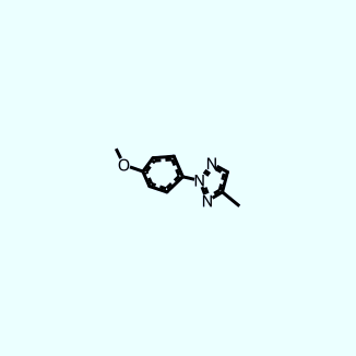 COc1ccc(-n2ncc(C)n2)cc1